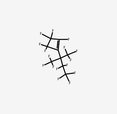 FC1=C(C(C(F)(F)F)(C(F)(F)F)C(F)(F)C(F)(F)F)C(F)(F)C1(F)F